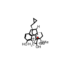 CO[C@]12CC[C@@]3(C[C@@H]1[C@](C)(O)C(C)(C)C)[C@H]1Cc4ccc(O)c5c4[C@@]3(CC[C@H]1CC1CC1)[C@H]2O5